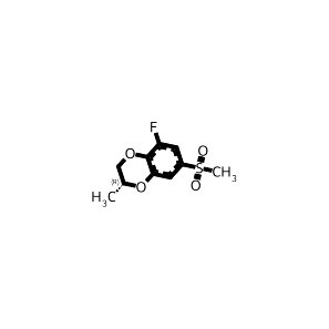 C[C@@H]1COc2c(F)cc(S(C)(=O)=O)cc2O1